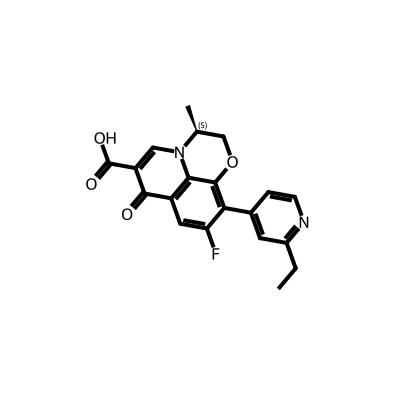 CCc1cc(-c2c(F)cc3c(=O)c(C(=O)O)cn4c3c2OC[C@@H]4C)ccn1